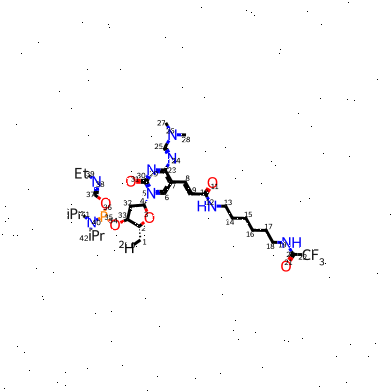 [2H]C[C@H]1O[C@@H](n2cc(/C=C/C(=O)NCCCCCCNC(=O)C(F)(F)F)c(/N=C/N(C)C)nc2=O)CC1OP(O/C=N/CC)N(C(C)C)C(C)C